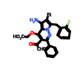 CCc1c(N)c2c(OCC(=O)O)c(C(=O)[C]=O)c(-c3ccccc3)nn2c1Cc1ccccc1F